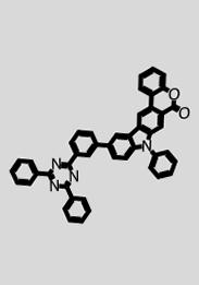 O=c1oc2ccccc2c2cc3c4cc(-c5cccc(-c6nc(-c7ccccc7)nc(-c7ccccc7)n6)c5)ccc4n(-c4ccccc4)c3cc12